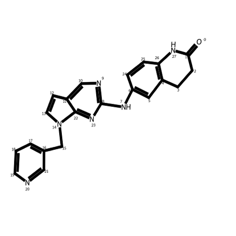 O=C1CCc2cc(Nc3ncc4ccn(Cc5cccnc5)c4n3)ccc2N1